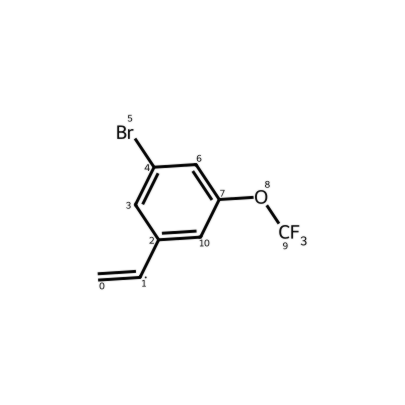 C=[C]c1cc(Br)cc(OC(F)(F)F)c1